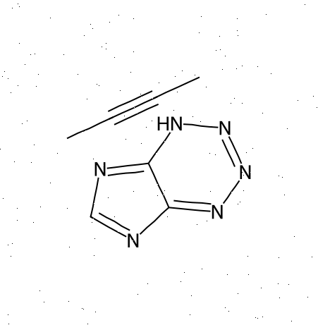 CC#CC.c1nc2nnn[nH]c-2n1